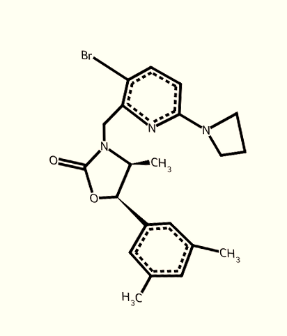 Cc1cc(C)cc([C@H]2OC(=O)N(Cc3nc(N4CCC4)ccc3Br)[C@H]2C)c1